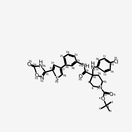 CC(C)(C)OC(=O)N1CCC(Nc2ccc(Cl)cc2)(C(=O)Nc2cccc(-c3csc(-c4noc(=O)[nH]4)c3)c2)CC1